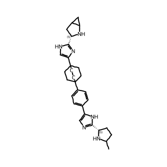 CC1CC[C@@H](c2ncc(-c3ccc(C45CCC(c6c[nH]c([C@@H]7CC8CC8N7)n6)(CC4)CC5)cc3)[nH]2)N1